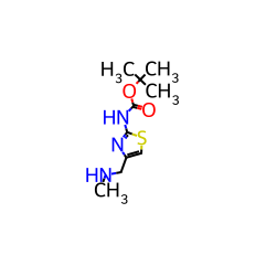 CNCc1csc(NC(=O)OC(C)(C)C)n1